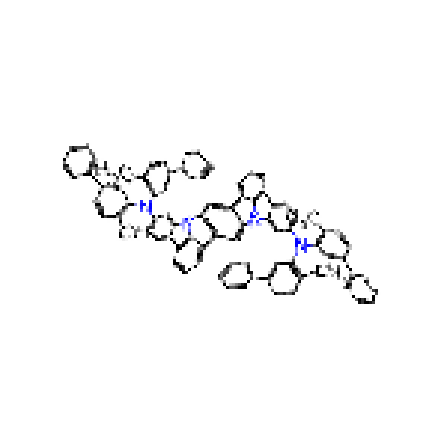 Cc1ccc(-c2ccccc2)cc1N(c1ccc2c3cccc4c5cc6c(cc5n(c2c1)c34)c1cccc2c3ccc(N(c4cc(-c5ccccc5)ccc4C)c4cc(-c5ccccc5)ccc4C)cc3n6c21)c1cc(-c2ccccc2)ccc1C